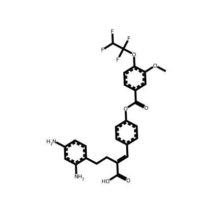 COc1cc(C(=O)Oc2ccc(/C=C(\CCc3ccc(N)cc3N)C(=O)O)cc2)ccc1OC(F)(F)C(F)F